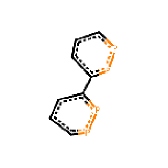 c1cppc(-c2cccpp2)c1